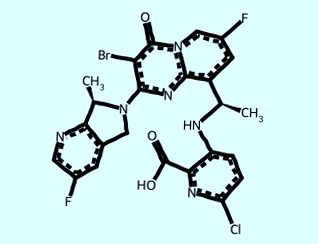 C[C@@H]1c2ncc(F)cc2CN1c1nc2c([C@@H](C)Nc3ccc(Cl)nc3C(=O)O)cc(F)cn2c(=O)c1Br